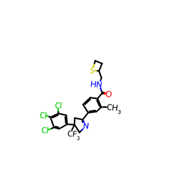 Cc1cc(C2=NCC(c3cc(Cl)c(Cl)c(Cl)c3)(C(F)(F)F)C2)ccc1C(=O)NCC1CCS1